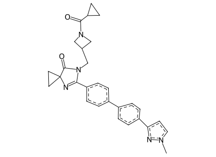 Cn1ccc(-c2ccc(-c3ccc(C4=NC5(CC5)C(=O)N4CC4CN(C(=O)C5CC5)C4)cc3)cc2)n1